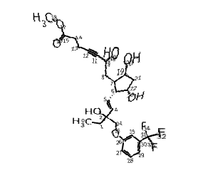 CCC(O)(C=C[C@@H]1[C@@H](CC(O)C#CCCC(=O)OC)[C@@H](O)C[C@H]1O)COc1cccc(C(F)(F)F)c1